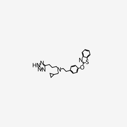 c1ccc2sc(Oc3ccc(CCN(CCCc4nn[nH]n4)CC4CC4)cc3)nc2c1